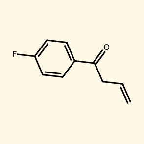 C=CCC(=O)c1ccc(F)cc1